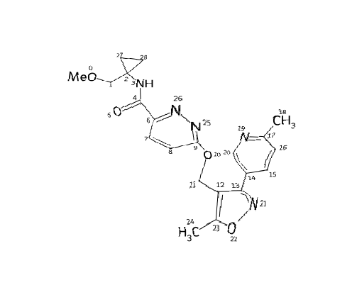 COCC1(NC(=O)c2ccc(OCc3c(-c4ccc(C)nc4)noc3C)nn2)CC1